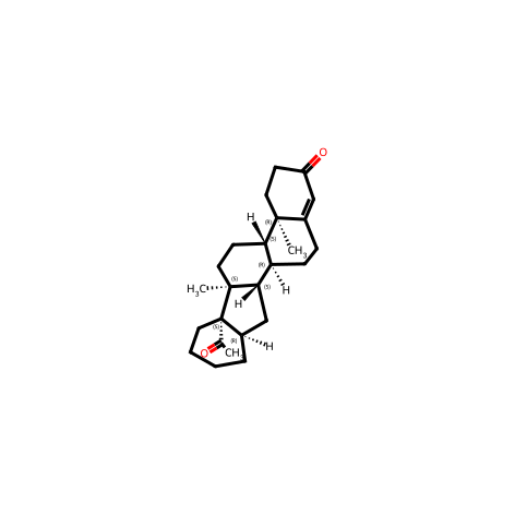 CC(=O)[C@@]12CCCC[C@@H]1C[C@H]1[C@@H]3CCC4=CC(=O)CC[C@]4(C)[C@H]3CC[C@@]12C